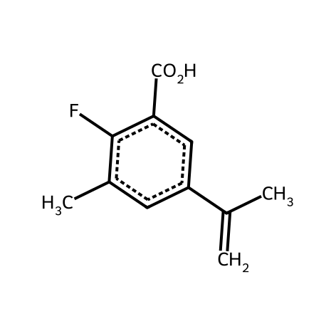 C=C(C)c1cc(C)c(F)c(C(=O)O)c1